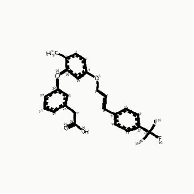 Cc1ccc(OCC=Cc2ccc(C(F)(F)F)cc2)cc1Oc1cccc(CC(=O)O)c1